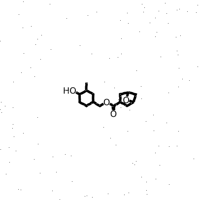 CC1CC(COC(=O)C2CC3CC(C2)O3)CCC1O